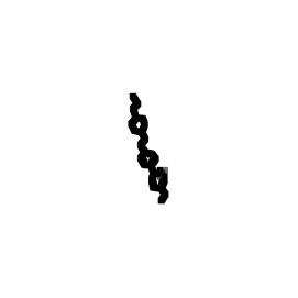 CCCC1CCC(CCc2ccc(-c3ccc(CC)cn3)cc2)CC1